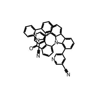 N#Cc1cncc(-c2cccc3c4cccc(-c5cncc(C#N)c5)c4n(-c4cccc5c4C(=O)N(c4ccccc4-c4ccccc4)C5=O)c23)c1